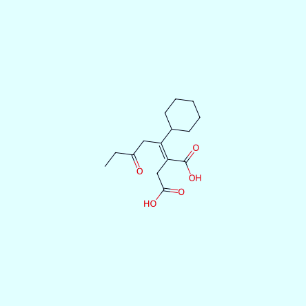 CCC(=O)CC(=C(CC(=O)O)C(=O)O)C1CCCCC1